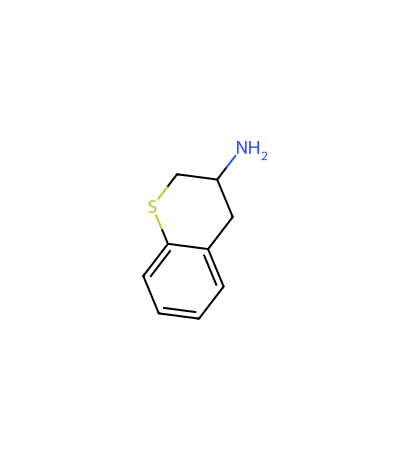 NC1CSc2ccccc2C1